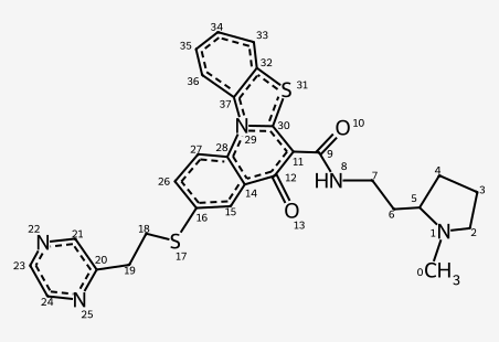 CN1CCCC1CCNC(=O)c1c(=O)c2cc(SCCc3cnccn3)ccc2n2c1sc1ccccc12